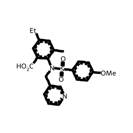 CCc1cc(C)c(N(Cc2cccnc2)S(=O)(=O)c2ccc(OC)cc2)c(C(=O)O)c1